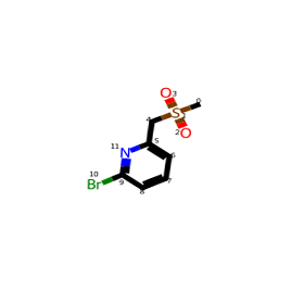 CS(=O)(=O)Cc1cccc(Br)n1